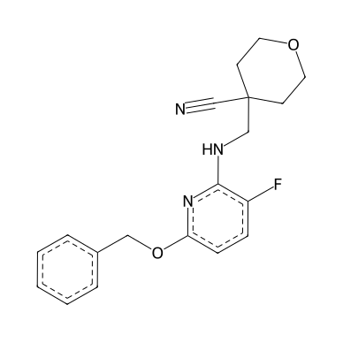 N#CC1(CNc2nc(OCc3ccccc3)ccc2F)CCOCC1